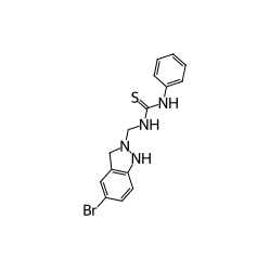 S=C(NCN1Cc2cc(Br)ccc2N1)Nc1ccccc1